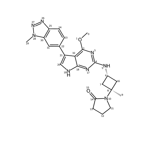 COc1nc(N[C@H]2C[C@](C)(N3CCCC3=O)C2)nc2[nH]cc(-c3ccc4nnn(C)c4c3)c12